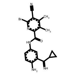 Cc1c(C(=O)Nc2ccc(N)c(C(=N)C3CC3)c2)nc(Br)c(C#N)c1C